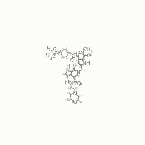 CN(C)C1CCC(NC(=O)c2cn(C)c(=O)c3[nH]c(Cn4cc(C(=O)NCCN5CCOCC5)c5cc[nH]c5c4=O)cc23)CC1